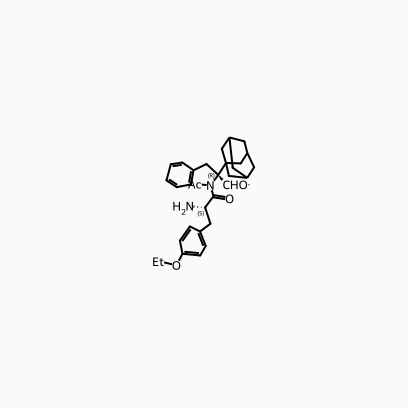 CCOc1ccc(C[C@H](N)C(=O)N(C(C)=O)[C@]([C]=O)(Cc2ccccc2)C23CC4CC(CC(C4)C2)C3)cc1